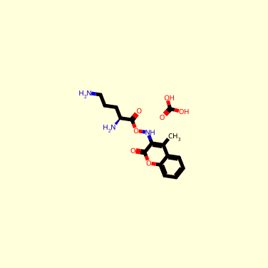 Cc1c(NOC(=O)[C@@H](N)CCCN)c(=O)oc2ccccc12.O=C(O)O